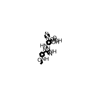 C=CC(=O)Nc1cccc(-c2nc(Nc3ccc(OP(=O)(O)O)c(N4CCN(C)CC4)c3)nc3[nH]ncc23)c1